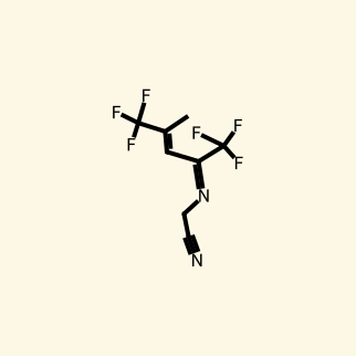 C/C(=C\C(=N/CC#N)C(F)(F)F)C(F)(F)F